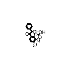 COc1ccc(C(=O)C(O)c2ccccc2)c(OC(=O)O)c1OC